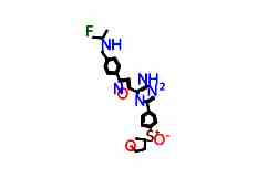 CC(CF)NCc1ccc(-c2cc(-c3nc(-c4ccc([S+]([O-])C5CCOC5)cc4)cnc3N)on2)cc1